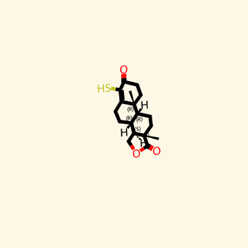 C[C@]12CCC(=O)C(S)=C1CC[C@@H]1[C@H]2CC[C@]2(C)C(=O)OC[C@@H]12